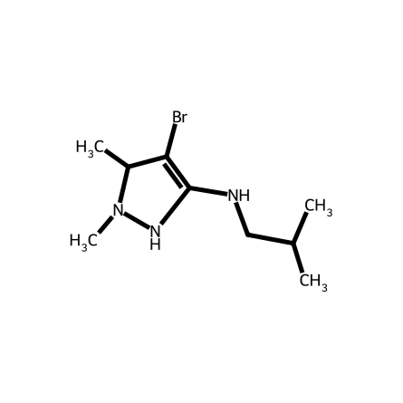 CC(C)CNC1=C(Br)C(C)N(C)N1